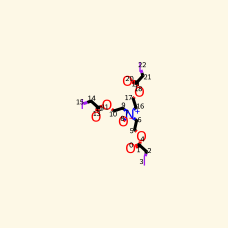 O=C(CI)OCC[N+]([O-])(CCOC(=O)CI)CCOC(=O)CI